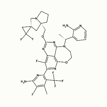 Cc1c(F)c(N)nc(-c2nc3c4c(nc(OC[C@@]56CCCN5C[C@]5(CC5(F)F)C6)nc4c2F)N([C@H](C)c2cccnc2N)CCO3)c1C(F)(F)F